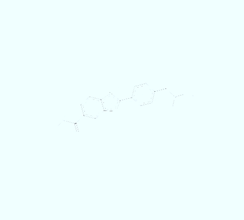 CN(C)Cc1ccc(-c2nc3ccc(C(=O)NO)cc3s2)cc1